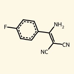 N#CC(C#N)=C(N)c1ccc(F)cc1